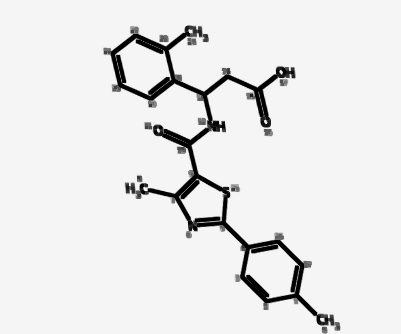 Cc1ccc(-c2nc(C)c(C(=O)NC(CC(=O)O)c3ccccc3C)s2)cc1